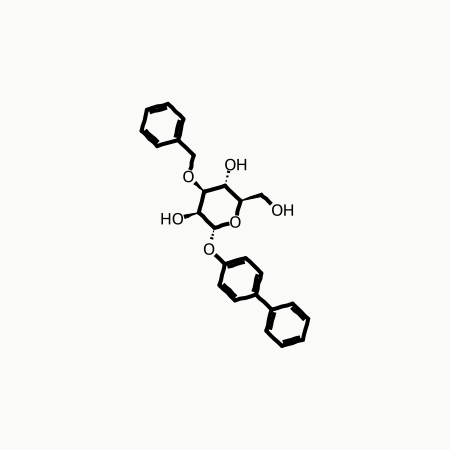 OC[C@H]1O[C@H](Oc2ccc(-c3ccccc3)cc2)[C@@H](O)[C@@H](OCc2ccccc2)[C@@H]1O